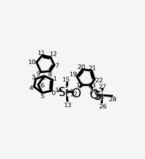 C1=CC2CCC1C2.C1=CCCC=C1.C[Si](C)(C)OC1C=CC=CC1O[Si](C)(C)C